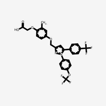 Cc1cc(OCc2cc(-c3ccc(C(F)(F)F)cc3)n(-c3ccc(OC(F)(F)F)cc3)n2)ccc1OCC(=O)O